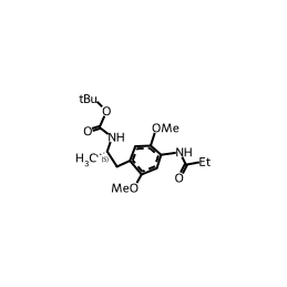 [CH2]CC(=O)Nc1cc(OC)c(C[C@H](C)NC(=O)OC(C)(C)C)cc1OC